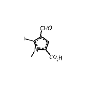 Cn1c(C(=O)O)cc(C=O)c1I